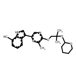 Cc1nc(-c2c[nH]c3c(C#N)cccc23)cnc1OCC(C)(C)OC1CCCCO1